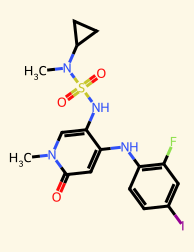 CN(C1CC1)S(=O)(=O)Nc1cn(C)c(=O)cc1Nc1ccc(I)cc1F